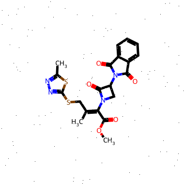 COC(=O)C(=C(C)CSc1nnc(C)s1)N1CC(N2C(=O)c3ccccc3C2=O)C1=O